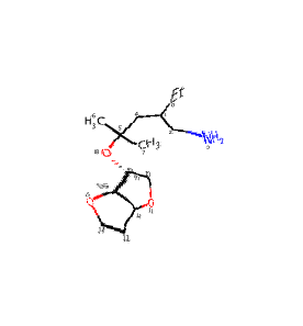 CCC(CN)CC(C)(C)O[C@@H]1COC2CCOC21